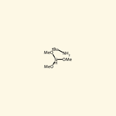 CC(C)(C)N.CO[SiH](OC)OC